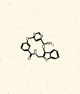 NCc1cc(Oc2cccc(C(=O)NCc3sc4ccccc4c3Cl)c2)ncn1